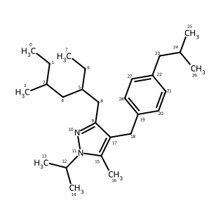 CCC(C)CC(CC)Cc1nn(C(C)C)c(C)c1Cc1ccc(CC(C)C)cc1